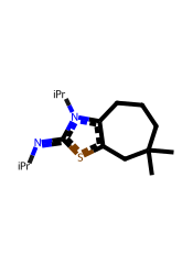 CC(C)/N=c1\sc2c(n1C(C)C)CCCC(C)(C)C2